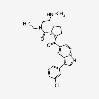 CCN(CCNC)C(=O)[C@@H]1CCCN1C(=O)c1ccn2ncc(-c3cccc(Cl)c3)c2n1